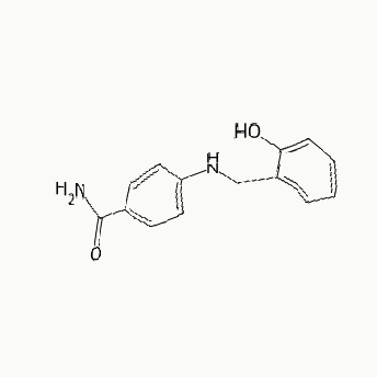 NC(=O)c1ccc(NCc2ccccc2O)cc1